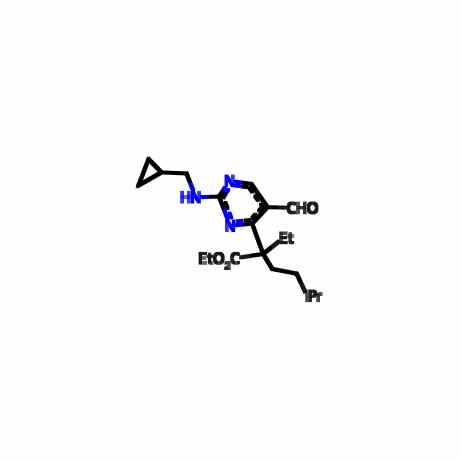 CCOC(=O)C(CC)(CCC(C)C)c1nc(NCC2CC2)ncc1C=O